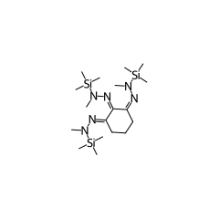 CN(/N=C1/CCCC(=N\N(C)[Si](C)(C)C)/C1=N\N(C)[Si](C)(C)C)[Si](C)(C)C